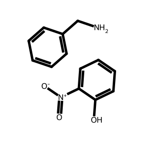 NCc1ccccc1.O=[N+]([O-])c1ccccc1O